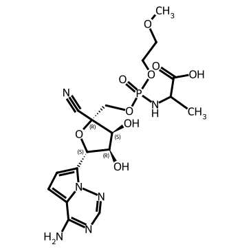 COCCOP(=O)(NC(C)C(=O)O)OC[C@@]1(C#N)O[C@@H](c2ccc3c(N)ncnn23)[C@H](O)[C@@H]1O